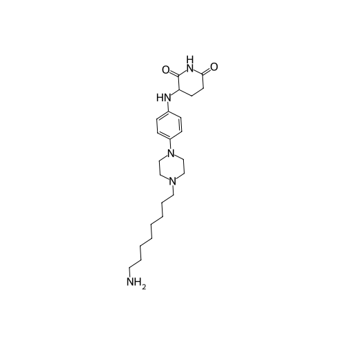 NCCCCCCCCN1CCN(c2ccc(NC3CCC(=O)NC3=O)cc2)CC1